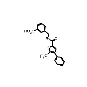 O=C(O)c1cccc(CNC(=O)c2cc(-c3ccccc3)c(C(F)(F)F)s2)c1